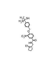 CCN1CCCC1CNC(=O)c1ccc(OCc2ccc(C(C)(N)S)cc2)c([N+](=O)[O-])c1